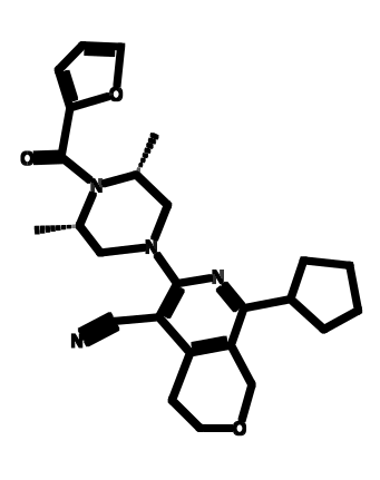 C[C@@H]1CN(c2nc(C3CCCC3)c3c(c2C#N)CCOC3)C[C@H](C)N1C(=O)c1ccco1